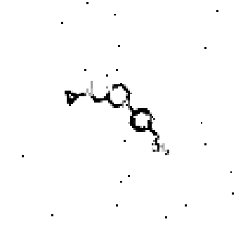 CCc1ccc(N2CCOC(CNC3CC3)C2)cn1